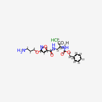 Cl.NCCCOc1cc(C(=O)NC[C@H](NC(=O)OCc2ccccc2)C(=O)O)on1